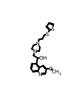 COc1cnc2cccc(C(O)CN3CCN(CCCSc4cccs4)CC3)c2c1